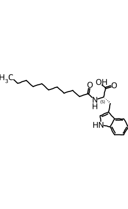 CCCCCCCCCCC(=O)N[C@@H](Cc1c[nH]c2ccccc12)C(=O)O